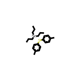 CC[CH2][Sn]([CH2]CC)[CH2]CC.Cc1ccc(Sc2ccc(C)cc2)cc1